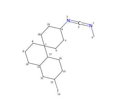 CN=C=NC1CCC2(CCCC3CC(I)CCC32)CC1